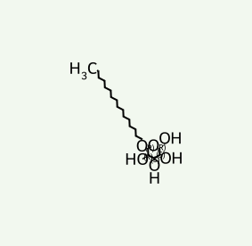 CCCCCCCCCCCCCCCCO[C@@H]1O[C@H](CO)[C@@H](O)[C@H](O)[C@H]1O